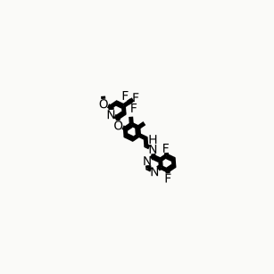 COc1cc(C(F)(F)F)cc(Oc2ccc(CCNc3ncnc4c(F)ccc(F)c34)c(C)c2C)n1